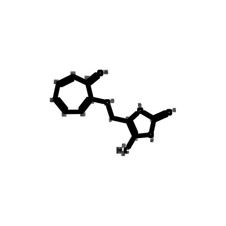 Cc1oc(=O)oc1COc1cccccc1=O